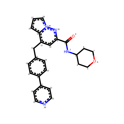 O=C(NC1CCOCC1)c1cc(Cc2ccc(-c3ccncc3)cc2)c2cccn2n1